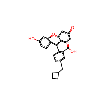 O=C(O)c1cc(CC2CCC2)ccc1-c1c2ccc(=O)cc-2oc2cc(O)ccc12